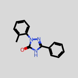 Cc1ccccc1-n1nc(-c2ccccc2)[nH]c1=O